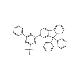 CC(C)(C)c1nc(-c2ccccc2)nc(-c2ccc3c(c2)C(c2ccccc2)(c2ccccc2)c2ccccc2-3)n1